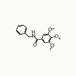 COc1cc(C(=O)NCc2ccccc2)cc(OC)c1OC